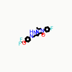 CC1CN(c2ccc(F)cc2)C(=O)c2cc(CNc3ccc(OC(F)F)cc3)nn21